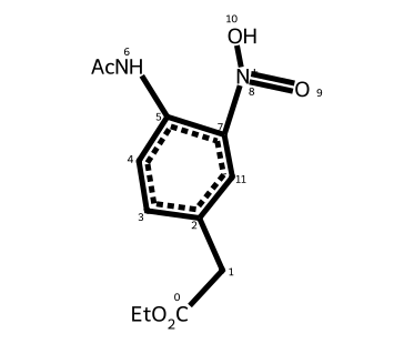 CCOC(=O)Cc1ccc(NC(C)=O)c([N+](=O)O)c1